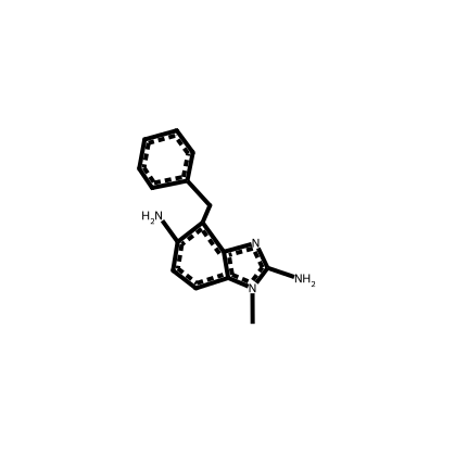 Cn1c(N)nc2c(Cc3ccccc3)c(N)ccc21